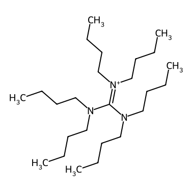 CCCCN(CCCC)C(N(CCCC)CCCC)=[N+](CCCC)CCCC